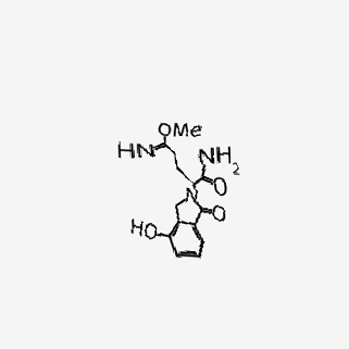 COC(=N)CC[C@@H](C(N)=O)N1Cc2c(O)cccc2C1=O